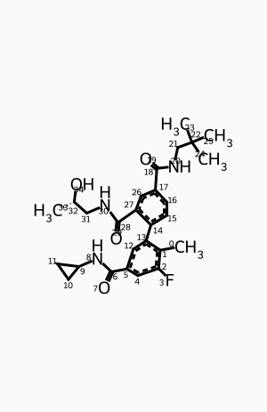 Cc1c(F)cc(C(=O)NC2CC2)cc1-c1ccc(C(=O)NCC(C)(C)C)cc1C(=O)NC[C@H](C)O